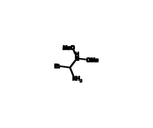 CCC(N)[SiH](OC)OC